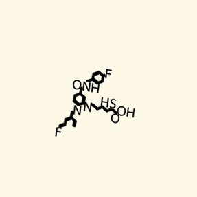 C=CC(/C=N/C1=CCC(C(=O)NCC2=CCC(F)C=C2)C=C1/N=C/CCCC(S)C(=O)O)=C\C=C\F